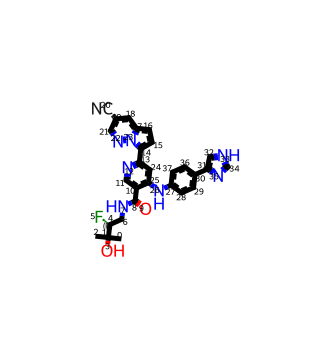 CC(C)(O)[C@H](F)CNC(=O)c1cnc(-c2ccc3cc(C#N)cnn23)cc1Nc1ccc(-c2c[nH]cn2)cc1